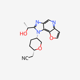 C[C@@H](O)c1nc2cnc3ccoc3c2n1[C@H]1CC[C@@H](CC#N)OC1